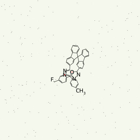 Cc1ccc(-c2nnc(-c3ccc4c(c3)C3(c5ccccc5-4)c4ccccc4-c4ccc(-c5nnc(-c6ccc(CF)cc6)o5)cc43)o2)cc1